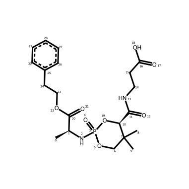 C[C@H](NP1(=O)OCC(C)(C)[C@H](C(=O)NCCC(=O)O)O1)C(=O)OCCc1ccccc1